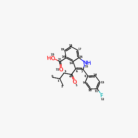 CC(C)CC(=O)c1c(-c2ccc(F)cc2)[nH]c2cccc(C(=O)O)c12